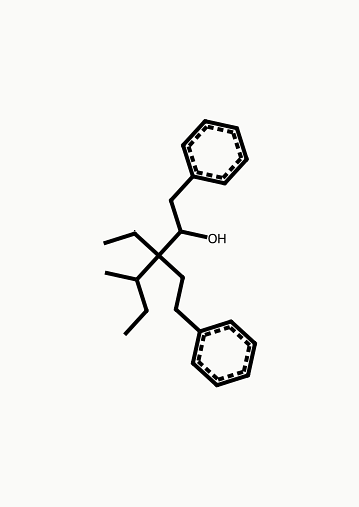 C[CH]C(CCc1ccccc1)(C(C)CC)C(O)Cc1ccccc1